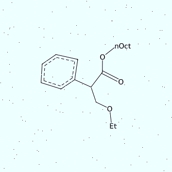 CCCCCCCCOC(=O)C(COCC)c1ccccc1